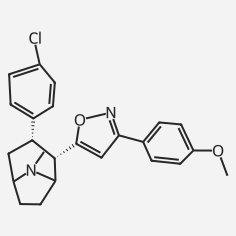 COc1ccc(-c2cc([C@@H]3C4CCC(C[C@@H]3c3ccc(Cl)cc3)N4C)on2)cc1